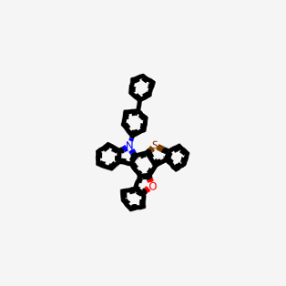 c1ccc(-c2ccc(-n3c4ccccc4c4c5c6ccccc6oc5c5c6ccccc6sc5c43)cc2)cc1